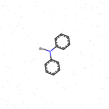 CCC(C)N(c1ccccc1)c1ccccc1